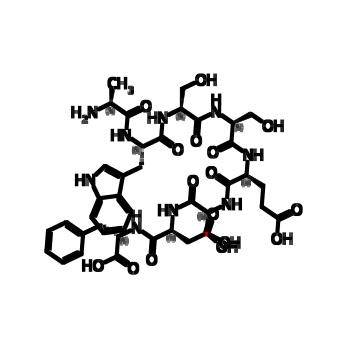 C[C@H](N)C(=O)N[C@@H](Cc1c[nH]c2ccccc12)C(=O)N[C@@H](CO)C(=O)N[C@@H](CO)C(=O)N[C@@H](CCC(=O)O)C(=O)N[C@@H](CO)C(=O)N[C@@H](CC(=O)O)C(=O)N[C@@H](Cc1ccccc1)C(=O)O